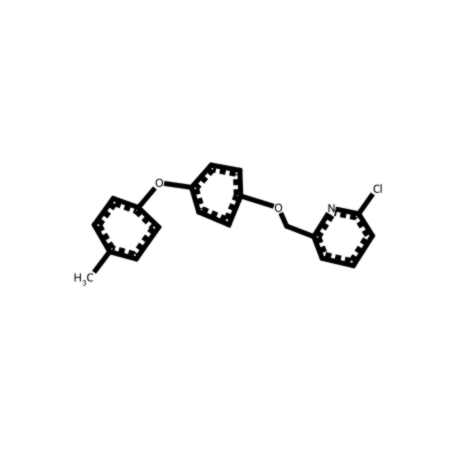 Cc1ccc(Oc2ccc(OCc3cccc(Cl)n3)cc2)cc1